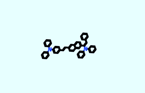 C(=C\c1ccc2cc(/C(=C\c3ccccc3)N(c3ccccc3)c3ccccc3)ccc2c1)/c1ccc(N(c2ccccc2)c2ccccc2)cc1